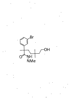 CNNC(=O)C(C)(CCC(C)(C)CCO)c1cccc(Br)c1